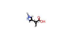 CC1C(C(=O)O)C1c1cnn(C)c1